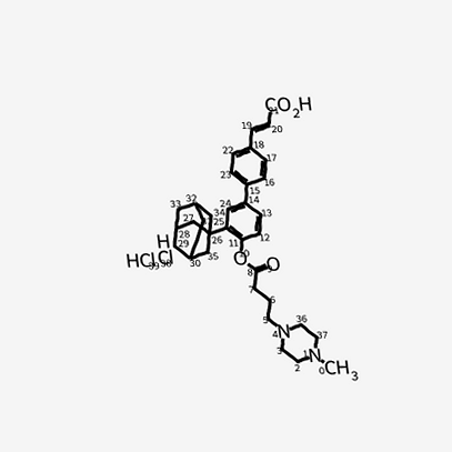 CN1CCN(CCCC(=O)Oc2ccc(-c3ccc(/C=C/C(=O)O)cc3)cc2C23CC4CC(CC(C4)C2)C3)CC1.Cl.Cl